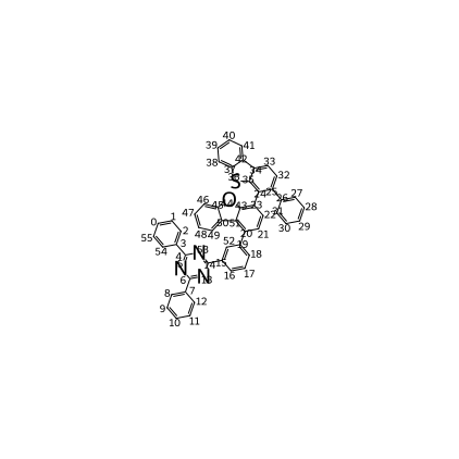 c1ccc(-c2nc(-c3ccccc3)nc(-c3cccc(-c4ccc(-c5c(-c6ccccc6)ccc6c5sc5ccccc56)c5oc6ccccc6c45)c3)n2)cc1